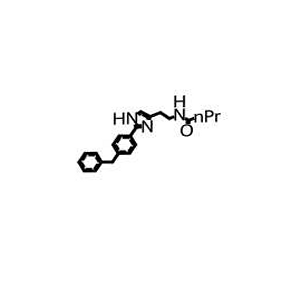 CCCC(=O)NCCc1c[nH]c(-c2ccc(Cc3ccccc3)cc2)n1